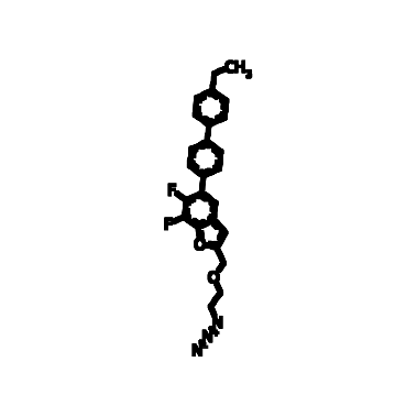 CCc1ccc(-c2ccc(-c3cc4cc(COCCN=[N+]=[N-])oc4c(F)c3F)cc2)cc1